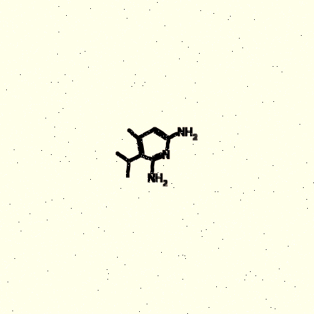 Cc1cc(N)nc(N)c1C(C)C